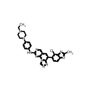 CCN1CCN(c2ccc(Nc3ncc4cc(-c5ccc6oc(C)nc6c5Cl)c5nncn5c4n3)cc2)CC1